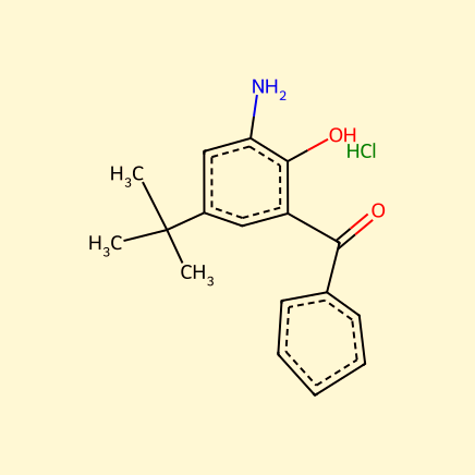 CC(C)(C)c1cc(N)c(O)c(C(=O)c2ccccc2)c1.Cl